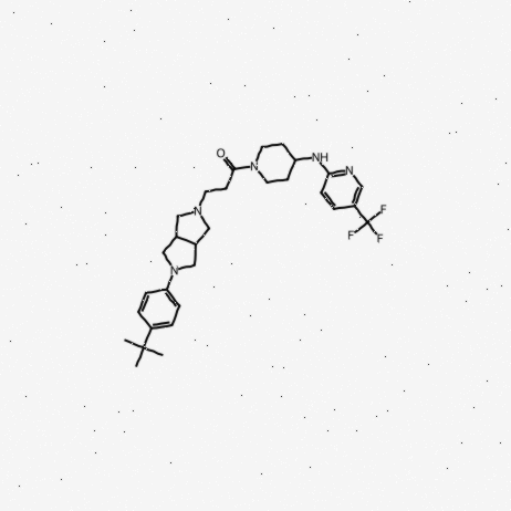 CC(C)(C)c1ccc(N2CC3CN(CCC(=O)N4CCC(Nc5ccc(C(F)(F)F)cn5)CC4)CC3C2)cc1